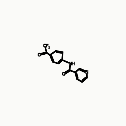 O=C(Nc1ccc(C(=O)C(F)(F)F)cc1)c1cccnc1